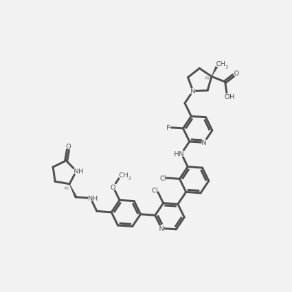 COc1cc(-c2nccc(-c3cccc(Nc4nccc(CN5CC[C@](C)(C(=O)O)C5)c4F)c3Cl)c2Cl)ccc1CNC[C@H]1CCC(=O)N1